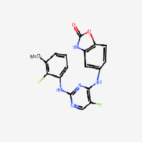 COc1cccc(Nc2ncc(F)c(Nc3ccc4oc(=O)[nH]c4c3)n2)c1F